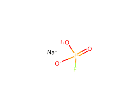 O=P([O-])(O)F.[Na+]